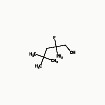 CC(C)(C)CC(F)(P)CO